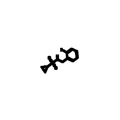 O=S(=O)(NCc1ccccc1F)C1CC1